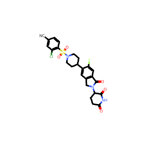 N#Cc1ccc(S(=O)(=O)N2CCC(c3cc4c(cc3F)C(=O)N(C3CCC(=O)NC3=O)C4)CC2)c(Cl)c1